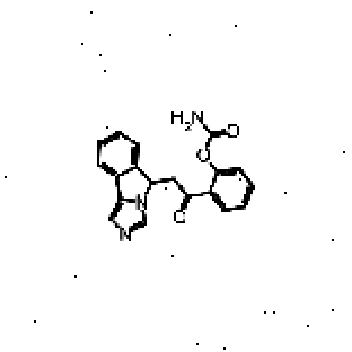 NC(=O)Oc1ccccc1C(=O)CC1c2ccccc2-c2cncn21